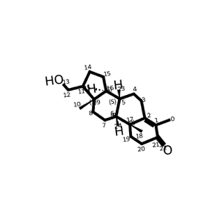 CC1=C2CC[C@@H]3[C@@H](CC[C@]4(C)C(CO)CC[C@@H]34)[C@@]2(C)CCC1=O